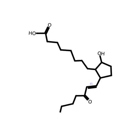 CCCCC(=O)/C=C/C1CCC(O)C1CCCCCCCC(=O)O